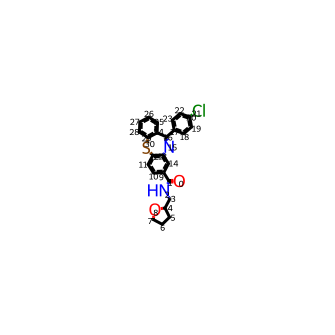 O=C(NCC1CCCO1)c1ccc2c(c1)N=C(c1ccc(Cl)cc1)c1ccccc1S2